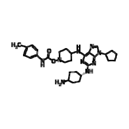 Cc1ccc(NC(=O)ON2CCC(Nc3nc(N[C@H]4CC[C@H](N)CC4)nc4c3ncn4C3CCCC3)CC2)cc1